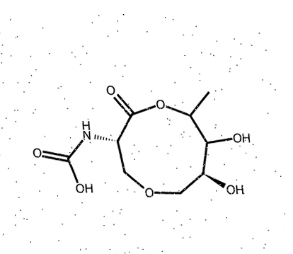 CC1OC(=O)[C@@H](NC(=O)O)COC[C@H](O)C1O